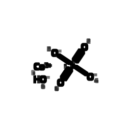 O=S(=O)([O-])[O-].[Co+3].[OH-]